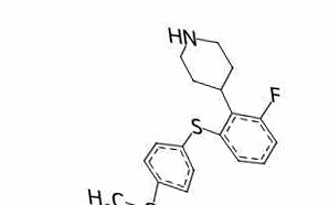 COc1ccc(Sc2cccc(F)c2C2CCNCC2)cc1